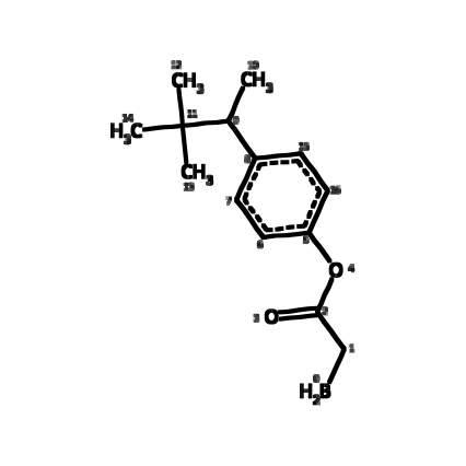 BCC(=O)Oc1ccc(C(C)C(C)(C)C)cc1